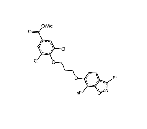 CCCc1c(OCCCOc2c(Cl)cc(C(=O)OC)cc2Cl)ccc2c(CC)noc12